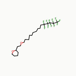 FC(F)(F)C(F)(F)C(F)(F)C(F)(F)C(F)(F)CCCCCCCCCCOCCC1CCCCO1